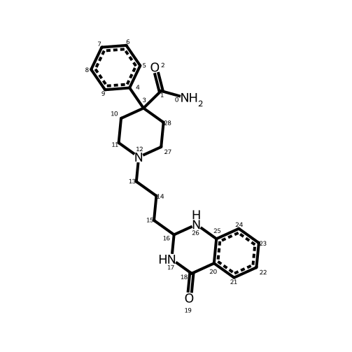 NC(=O)C1(c2ccccc2)CCN(CCCC2NC(=O)c3ccccc3N2)CC1